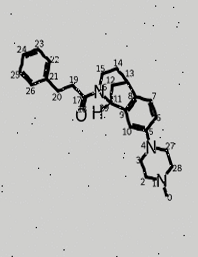 CN1CCN(c2ccc3c(c2)[C@H]2CC3CCN2C(=O)CCc2ccccc2)CC1